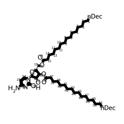 CCCCCCCCCCCCCCCCCCCCCCCCCC(=O)OC[C@H]1O[C@@H](n2ccc(N)nc2=O)[C@@H](O)[C@@H]1OC(=O)CCCCCCCCCCCCCCCCCCCCCCCCC